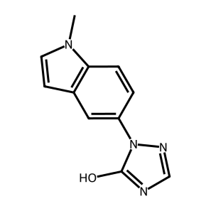 Cn1ccc2cc(-n3ncnc3O)ccc21